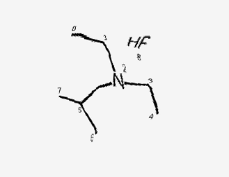 CCN(CC)C(C)C.F